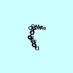 COCC(C(=O)OC)N1CCC(c2cccc(OCc3ccc(Cl)cc3F)n2)CC1